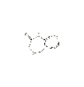 O=C1CSCc2ccccc2N1